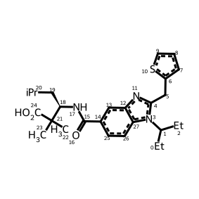 CCC(CC)n1c(Cc2cccs2)nc2cc(C(=O)N[C@H](CC(C)C)C(C)(C)C(=O)O)ccc21